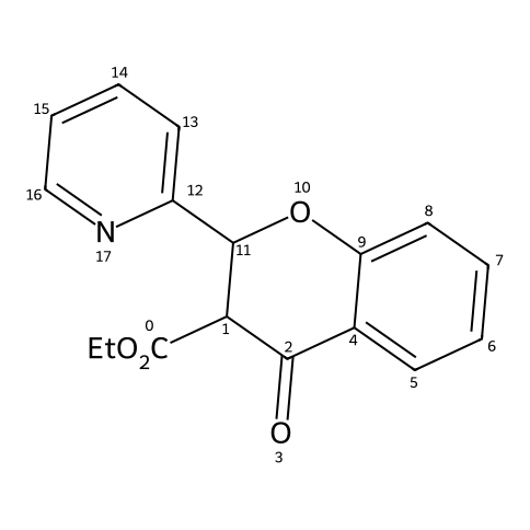 CCOC(=O)C1C(=O)c2ccccc2OC1c1ccccn1